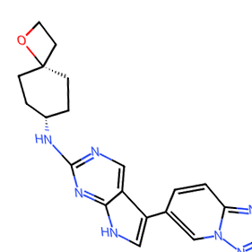 c1nc2ccc(-c3c[nH]c4nc(N[C@H]5CC[C@]6(CCO6)CC5)ncc34)cn2n1